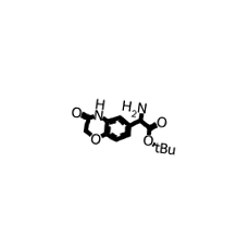 CC(C)(C)OC(=O)C(N)c1ccc2c(c1)NC(=O)CO2